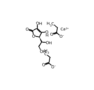 CCC(=O)[O-].CCC(=O)[O-].O=C1O[C@H](C(O)CO)C(O)=C1O.[Ca+2]